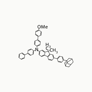 COc1ccc(-c2ccc(N(c3ccc(-c4ccccc4)cc3)c3ccc4c(c3)C(C)(C)c3cc(-c5ccc(C67CC8CC(CC(C8)C6)C7)cc5)ccc3-4)cc2)cc1